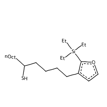 CCCCCCCCC(S)CCCCc1ccoc1[Si](CC)(CC)CC